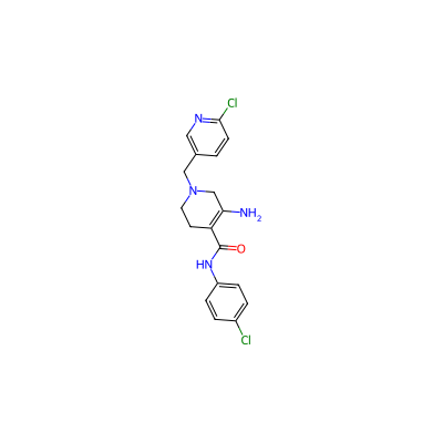 NC1=C(C(=O)Nc2ccc(Cl)cc2)CCN(Cc2ccc(Cl)nc2)C1